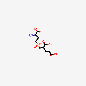 NC(CCP(=O)(O)CC(CCC(=O)O)C(=O)O)C(=O)O